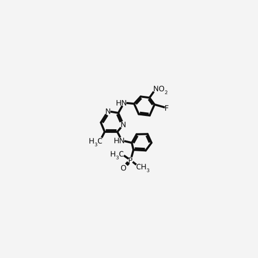 Cc1cnc(Nc2ccc(F)c([N+](=O)[O-])c2)nc1Nc1ccccc1P(C)(C)=O